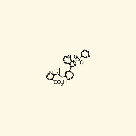 O=C(O)c1cccnc1NCc1cccc(-c2cn(S(=O)(=O)c3ccccc3)c3ncccc23)c1